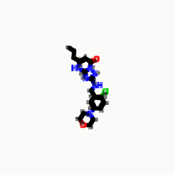 CCCc1cc(=O)n2nc(NCc3cc(N4CCOCC4)ccc3Cl)nc2[nH]1